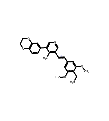 COc1cc(/C=C/c2cncc(-c3ccc4c(c3)OCCO4)c2C)cc(OC)c1CN